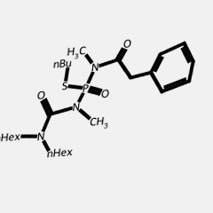 CCCCCCN(CCCCCC)C(=O)N(C)P(=O)(SCCCC)N(C)C(=O)Cc1ccccc1